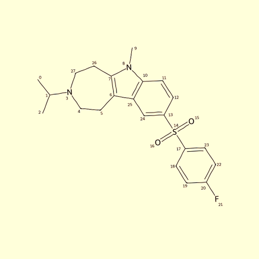 CC(C)N1CCc2c(n(C)c3ccc(S(=O)(=O)c4ccc(F)cc4)cc23)CC1